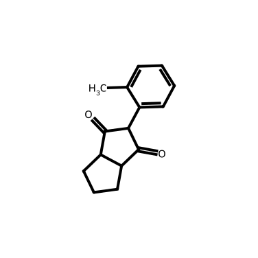 Cc1ccccc1C1C(=O)C2CCCC2C1=O